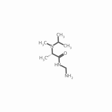 CC(C)N(C)[C@@H](C)C(=O)NCN